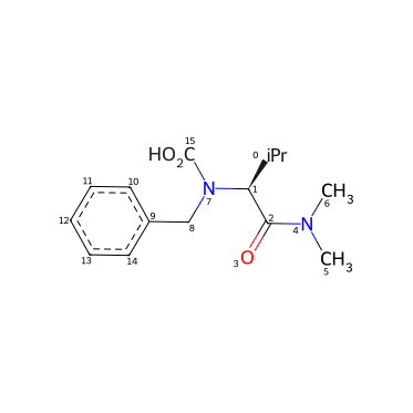 CC(C)[C@@H](C(=O)N(C)C)N(Cc1ccccc1)C(=O)O